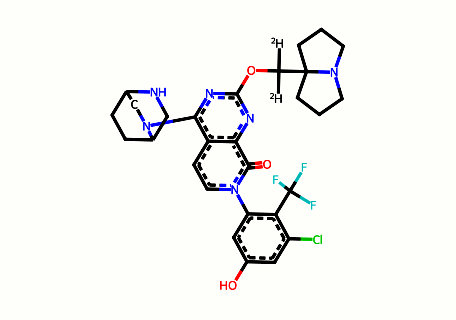 [2H]C([2H])(Oc1nc(N2CC3CCC2CN3)c2ccn(-c3cc(O)cc(Cl)c3C(F)(F)F)c(=O)c2n1)C12CCCN1CCC2